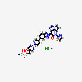 Cl.O=C(O)CC1(O)CCN(c2ccc(-c3cc(F)c4cn(C(C(=O)Nc5nccs5)c5ncn6c5CCC6)nc4c3)cn2)CC1